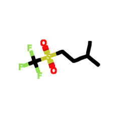 CC(C)CCS(=O)(=O)C(F)(F)F